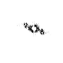 NC1=NC=NC2C1N=CN2[C@@H]1O[C@@H]2CNP(=O)(S)O[C@H]3[C@@H](F)[C@H](n4cnc5c(N)ncnc54)O[C@@H]3CNP(=O)(S)O[C@H]2[C@H]1F